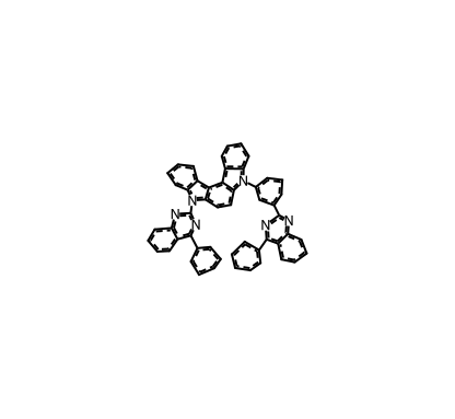 c1ccc(-c2nc(-c3cccc(-n4c5ccccc5c5c6c7ccccc7n(-c7nc(-c8ccccc8)c8ccccc8n7)c6ccc54)c3)nc3ccccc23)cc1